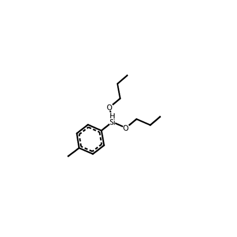 CCCO[SiH](OCCC)c1ccc(C)cc1